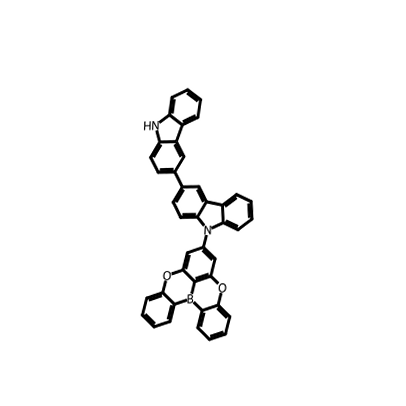 c1ccc2c(c1)Oc1cc(-n3c4ccccc4c4cc(-c5ccc6[nH]c7ccccc7c6c5)ccc43)cc3c1B2c1ccccc1O3